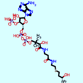 CCC[C@@H](O)CCSCCNC(=O)CCNC(=O)[C@H](O)C(C)(C)COP(=O)(O)OP(=O)(O)OC[C@H]1O[C@@H](n2cnc3c(N)ncnc32)[C@H](O)[C@@H]1OP(=O)(O)O